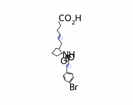 O=C(O)CCC/C=C/CC1CCCC1NS(=O)(=O)/C=C/c1ccc(Br)cc1